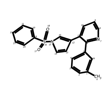 Cc1cccc(-c2ncccc2-c2ccn(S(=O)(=O)c3ccccc3)c2)c1